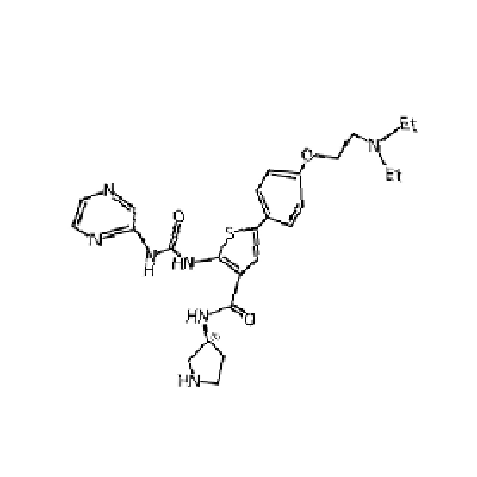 CCN(CC)CCOc1ccc(-c2cc(C(=O)N[C@H]3CCNC3)c(NC(=O)Nc3cnccn3)s2)cc1